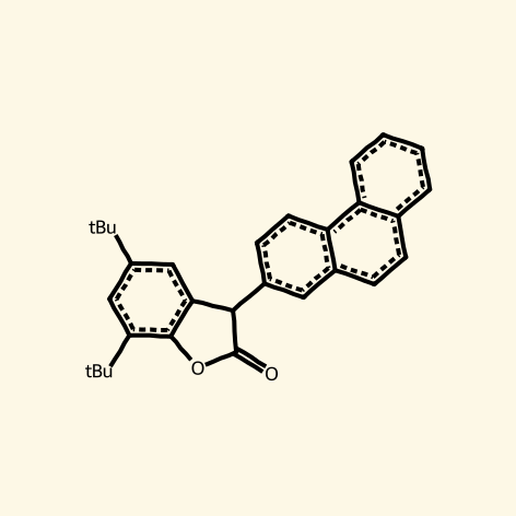 CC(C)(C)c1cc2c(c(C(C)(C)C)c1)OC(=O)C2c1ccc2c(ccc3ccccc32)c1